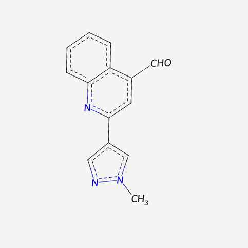 Cn1cc(-c2cc(C=O)c3ccccc3n2)cn1